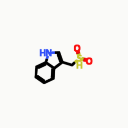 O=[SH](=O)Cc1c[nH]c2ccccc12